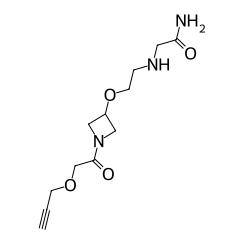 C#CCOCC(=O)N1CC(OCCNCC(N)=O)C1